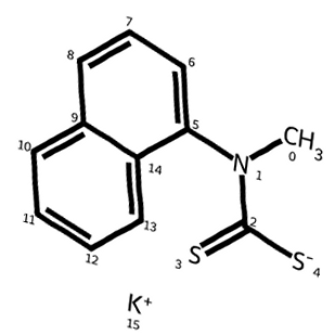 CN(C(=S)[S-])c1cccc2ccccc12.[K+]